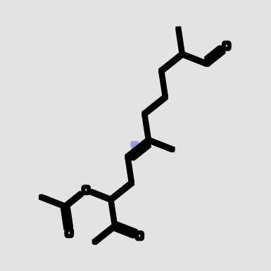 CC(=O)OC(C/C=C(\C)CCCC(C)C=O)C(C)=O